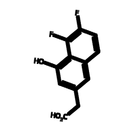 O=C(O)Cc1cc(O)c2c(F)c(F)ccc2c1